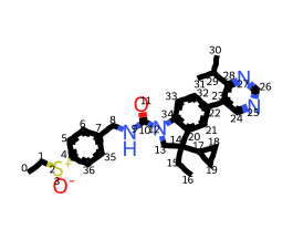 CC[S+]([O-])c1ccc(CNC(=O)N2CC(CC)(C3CC3)c3cc(-c4cncnc4C(C)C)ccc32)cc1